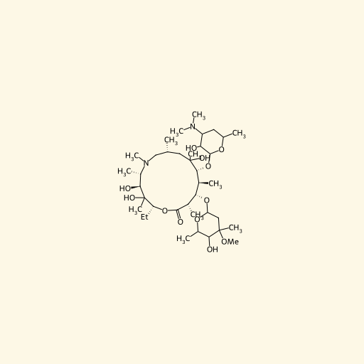 CC[C@H]1OC(=O)[C@@H](C)[C@@H](OC2CC(C)(OC)C(O)C(C)O2)[C@H](C)[C@@H](OC2OC(C)CC(N(C)C)C2O)C(C)(O)C[C@@H](C)CN(C)[C@@H](C)[C@H](O)C1(C)O